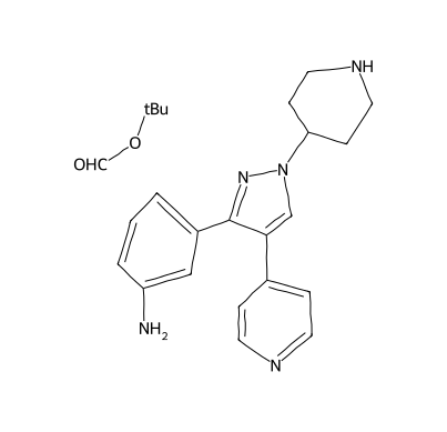 CC(C)(C)OC=O.Nc1cccc(-c2nn(C3CCNCC3)cc2-c2ccncc2)c1